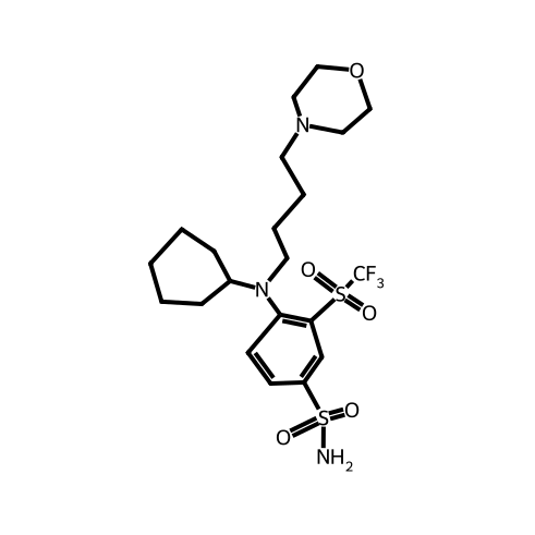 NS(=O)(=O)c1ccc(N(CCCCN2CCOCC2)C2CCCCC2)c(S(=O)(=O)C(F)(F)F)c1